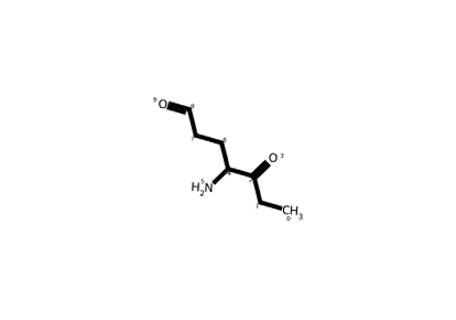 CCC(=O)C(N)CCC=O